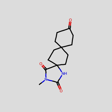 CN1C(=O)NC2(CCC3(CCC(=O)CC3)CC2)C1=O